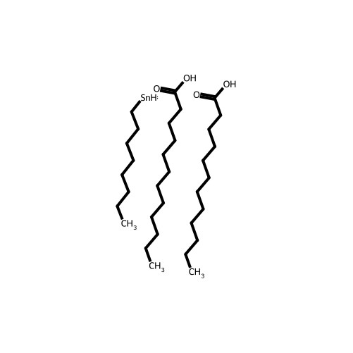 CCCCCCCCCCCC(=O)O.CCCCCCCCCCCC(=O)O.CCCCCCC[CH2][SnH]